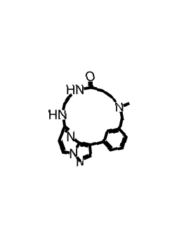 CN1CCC(=O)NCCNc2ccn3ncc(c3n2)-c2cccc(c2)C1